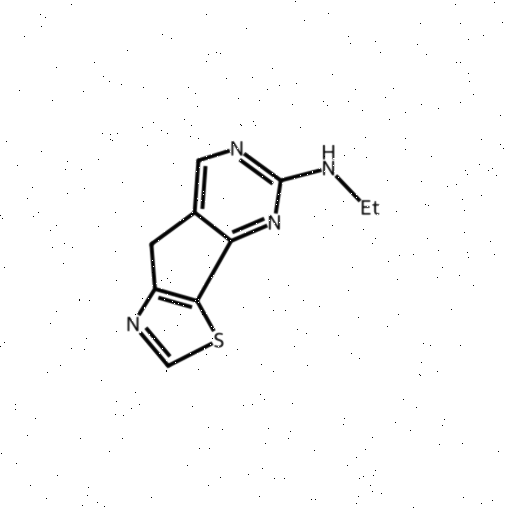 CCNc1ncc2c(n1)-c1scnc1C2